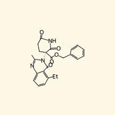 CCc1cccc2nc(C)n([C@]3(C(=O)OCc4ccccc4)CCC(=O)NC3=O)c(=O)c12